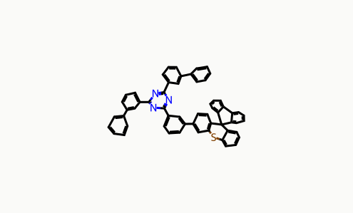 c1ccc(-c2cccc(-c3nc(-c4cccc(-c5ccccc5)c4)nc(-c4cccc(-c5ccc6c(c5)Sc5ccccc5C65c6ccccc6-c6ccccc65)c4)n3)c2)cc1